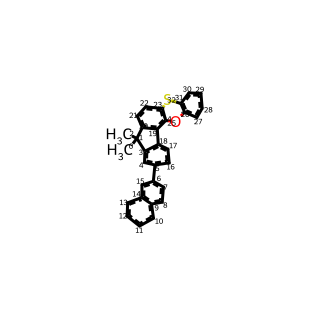 CC1(C)c2cc(-c3ccc4ccccc4c3)ccc2-c2c1ccc1c2Oc2ccccc2S1